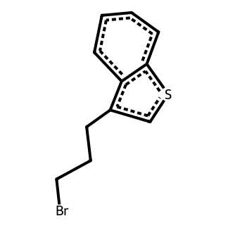 BrCCCc1csc2ccccc12